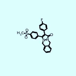 CS(=O)(=O)c1ccc(-c2c(-c3ccc(F)cc3)c(=O)n3n2Cc2ccccc2C3)cc1